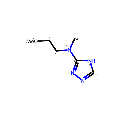 COCCN(C)c1nnc[nH]1